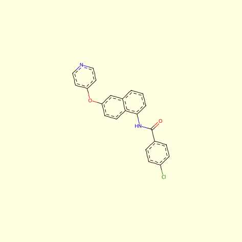 O=C(Nc1cccc2cc(Oc3ccncc3)ccc12)c1ccc(Cl)cc1